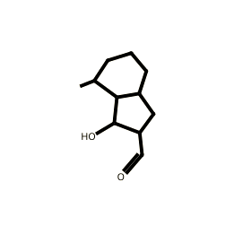 CC1CCCC2CC(C=O)C(O)C12